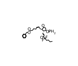 CCCCC(F)(F)C(=O)/C=C/[C@H]1[C@H](OP)CC(=O)[C@@H]1C/C=C\CCCC(=O)OCc1ccccc1